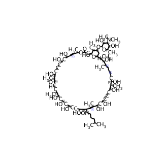 C/C1=C\C=C\C[C@@H](O)[C@H](C)[C@@H](O)CCC[C@@H](O)C[C@H](O)/C(C)=C/C(CCCCC(C)C)[C@@H](O)C(O)CC[C@@H](O)C[C@H](O)C[C@@H](O)[C@@H](C)CC[C@@H](O)[C@H](C)[C@@H](O)CCC[C@H](O)C[C@H](O)/C=C/C(C)OC(=O)CC2(O)O[C@@H](C[C@H](OC3O[C@H](C)[C@@H](O)[C@H](N(C)C)[C@H]3O)[C@H]2C)[C@@H](C)[C@@H]1O